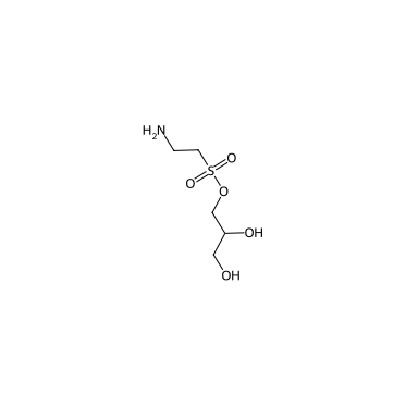 NCCS(=O)(=O)OCC(O)CO